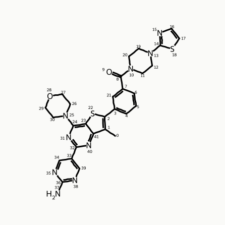 Cc1c(-c2cccc(C(=O)N3CCN(c4nccs4)CC3)c2)sc2c(N3CCOCC3)nc(-c3cnc(N)nc3)nc12